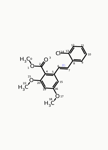 COC(=O)c1c(/C=C/c2ccccc2Cl)cc(OC)cc1OC